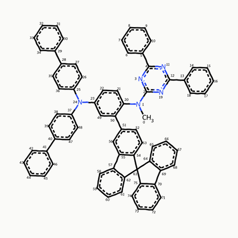 CN(c1nc(-c2ccccc2)nc(-c2ccccc2)n1)c1ccc(N(c2ccc(-c3ccccc3)cc2)c2ccc(-c3ccccc3)cc2)cc1-c1ccc2c(c1)-c1ccccc1C21c2ccccc2-c2ccccc21